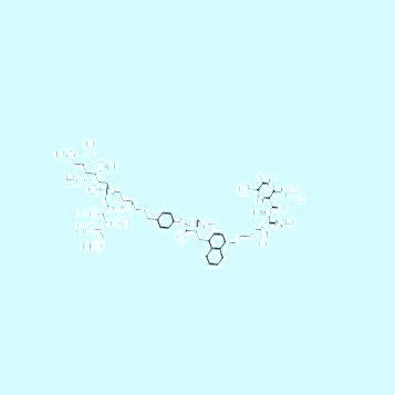 Cc1nc(N)c(C(=O)NC(=N)NCCCCc2ccc(C[C@H](N)C(=O)Nc3ccc(CCCCCCN(C[C@H](O)[C@@H](O)[C@H](O)[C@H](O)CO)C[C@H](O)[C@@H](O)[C@H](O)[C@H](O)CO)cc3)c3ccccc23)nc1Cl